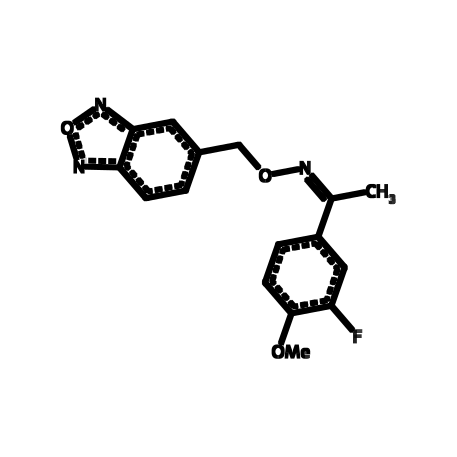 COc1ccc(C(C)=NOCc2ccc3nonc3c2)cc1F